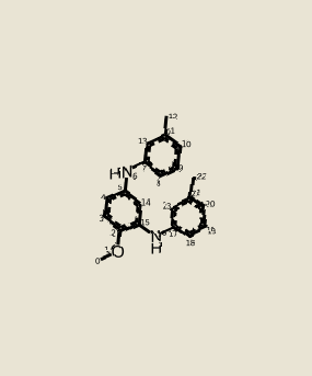 COc1ccc(Nc2cccc(C)c2)cc1Nc1cccc(C)c1